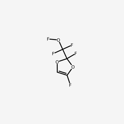 FOC(F)(F)C1(F)OC=C(F)O1